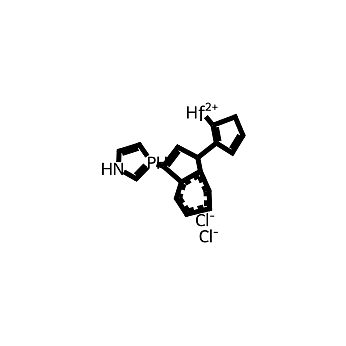 [Cl-].[Cl-].[Hf+2][C]1=C(C2C=C([PH]3=CNC=C3)c3ccccc32)C=CC1